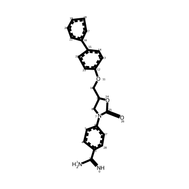 N=C(N)c1ccc(N2CC(COc3ccc(-c4ccccc4)cc3)OC2=O)cc1